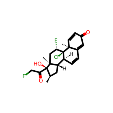 C[C@@H]1C[C@H]2[C@@H]3C=CC4=CC(=O)C=C[C@]4(C)[C@@]3(Cl)[C@@H](F)C[C@]2(C)[C@@]1(O)C(=O)CF